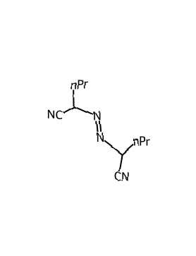 CCCC(C#N)/N=N/C(C#N)CCC